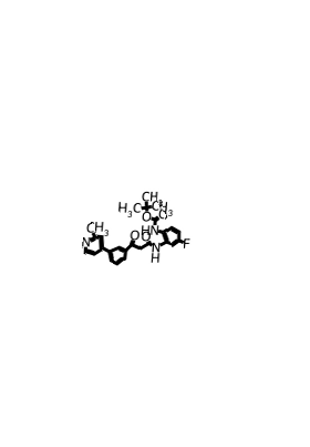 Cc1cc(-c2cccc(C(=O)CC(=O)Nc3cc(F)ccc3NC(=O)OC(C)(C)C)c2)ccn1